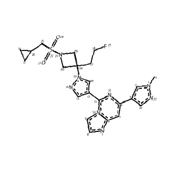 Cn1cc(-c2cc3nccn3c(-c3cnn(C4(CCF)CN(S(=O)(=O)CC5CC5)C4)c3)n2)cn1